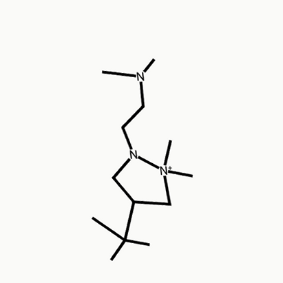 CN(C)CCN1CC(C(C)(C)C)C[N+]1(C)C